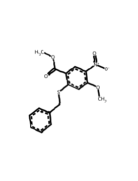 COC(=O)c1cc([N+](=O)[O-])c(OC)cc1SCc1ccccc1